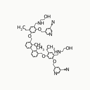 C=Cc1cc(CNCCO)c(OCc2cncc(C#N)c2)cc1OCc1cccc(-c2cccc(COc3cc(OCc4cncc(C#N)c4)c(CNCCO)cc3C=C)c2C)c1C